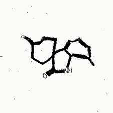 Cc1cccc2c1NC(=O)C21CCC(=O)CC1